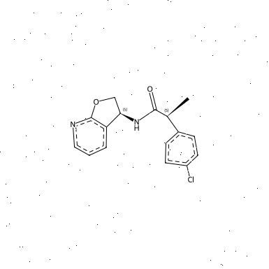 C[C@H](C(=O)N[C@@H]1COc2ncccc21)c1ccc(Cl)cc1